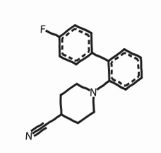 N#CC1CCN(c2ccccc2-c2ccc(F)cc2)CC1